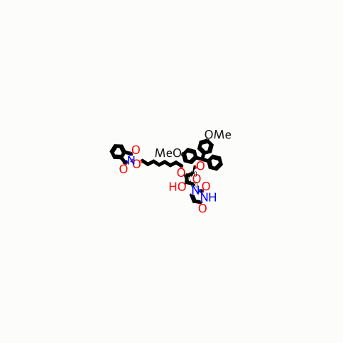 COc1ccc(C(OC[C@H]2O[C@@H](n3ccc(=O)[nH]c3=O)[C@H](O)[C@@H]2OCCCCCCCCON2C(=O)c3ccccc3C2=O)(c2ccccc2)c2ccc(OC)cc2)cc1